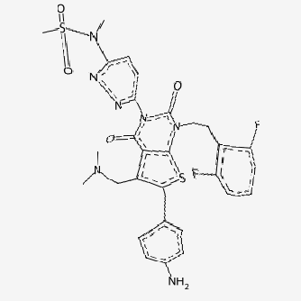 CN(C)Cc1c(-c2ccc(N)cc2)sc2c1c(=O)n(-c1ccc(N(C)S(C)(=O)=O)nn1)c(=O)n2Cc1c(F)cccc1F